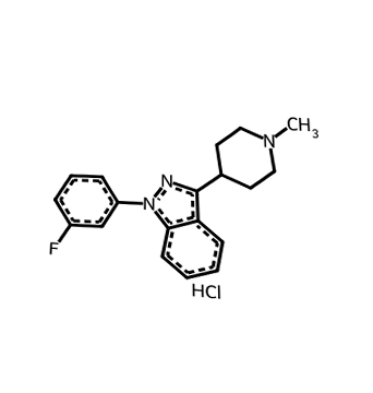 CN1CCC(c2nn(-c3cccc(F)c3)c3ccccc23)CC1.Cl